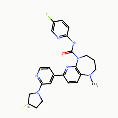 CN1CCCN(C(=O)Nc2ccc(F)cn2)c2nc(-c3ccnc(N4CC[C@H](F)C4)c3)ccc21